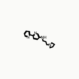 c1ccc(-c2ccc(NCCCN3CCCC3)cn2)nc1